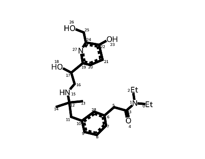 CCN(CC)C(=O)Cc1cccc(CC(C)(C)NCC(O)c2ccc(O)c(CO)n2)c1